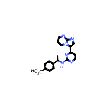 CC(Nc1nccc(-c2cnc3ncccn23)n1)c1ccc(C(=O)O)cc1